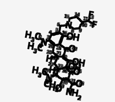 CN(C)c1cc(CN2CCC(C(F)F)CC2)c(O)c2c1C[C@H]1C[C@H]3[C@H](N(C)C)C(O)=C(C(N)=O)C(=O)[C@@]3(O)C(O)=C1C2=O